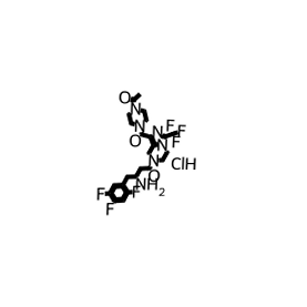 CC(=O)N1CCN(C(=O)c2nc(C(F)(F)F)n3c2CN(C(=O)CC(N)Cc2cc(F)c(F)cc2F)CC3)CC1.Cl